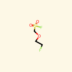 O=S(=O)(F)COCCF